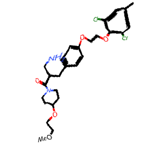 COCCOC1CCN(C(=O)C(CN)Cc2ccc(OCCOc3c(Cl)cc(C)cc3Cl)cc2)CC1